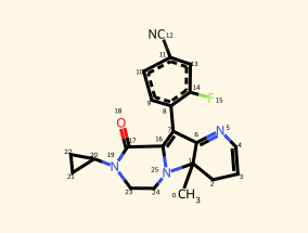 CC12CC=CN=C1C(c1ccc(C#N)cc1F)=C1C(=O)N(C3CC3)CCN12